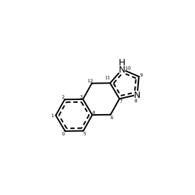 c1ccc2c(c1)Cc1nc[nH]c1C2